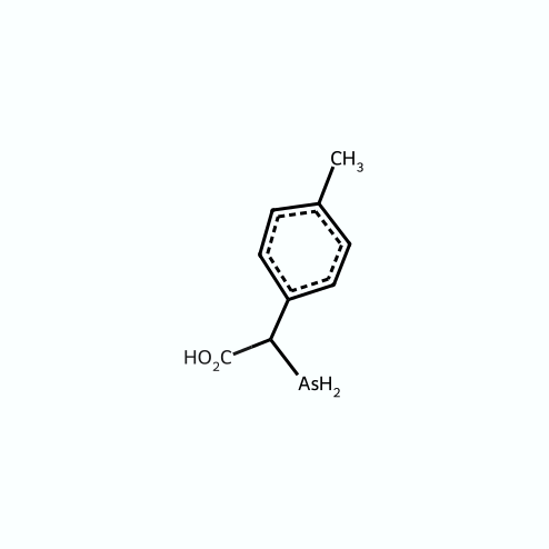 Cc1ccc(C([AsH2])C(=O)O)cc1